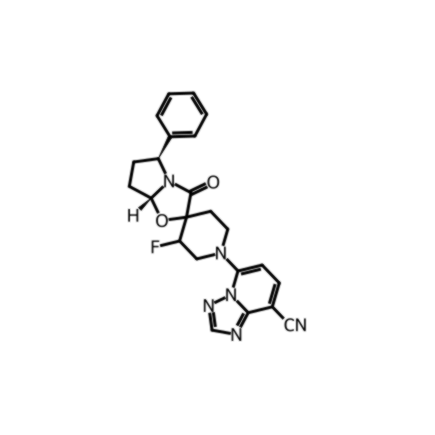 N#Cc1ccc(N2CCC3(O[C@@H]4CC[C@@H](c5ccccc5)N4C3=O)C(F)C2)n2ncnc12